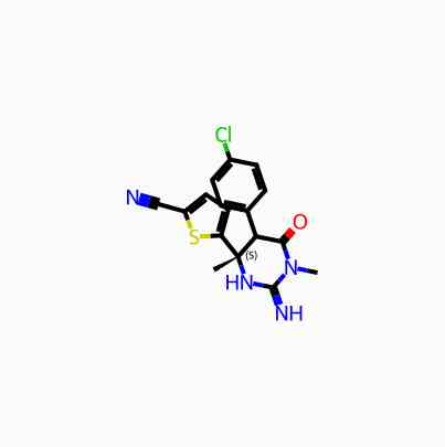 CN1C(=N)N[C@](C)(c2ccc(C#N)s2)C(c2ccc(Cl)cc2)C1=O